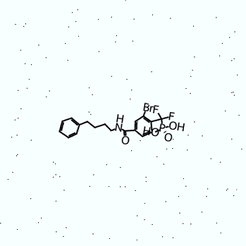 O=C(NCCCCc1ccccc1)c1ccc(C(F)(F)P(=O)(O)O)c(Br)c1